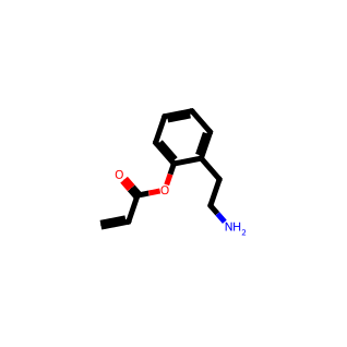 C=CC(=O)Oc1ccccc1CCN